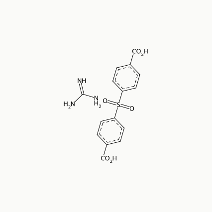 N=C(N)N.O=C(O)c1ccc(S(=O)(=O)c2ccc(C(=O)O)cc2)cc1